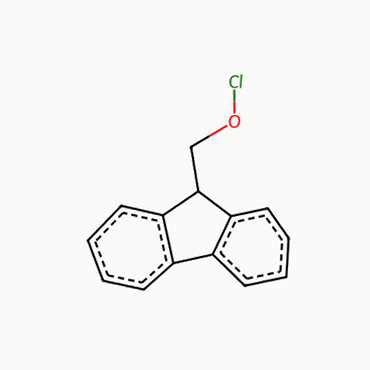 ClOCC1c2ccccc2-c2ccccc21